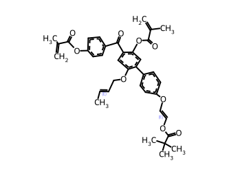 C=C(C)C(=O)Oc1ccc(C(=O)c2cc(OC/C=C/C)c(-c3ccc(O/C=C/OC(=O)C(C)(C)C)cc3)cc2OC(=O)C(=C)C)cc1